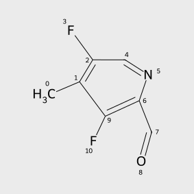 Cc1c(F)cnc(C=O)c1F